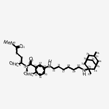 CNC(=O)CCC(C=O)N(C)C(=O)c1cc(NCCCCCCNC2(C)CC3CC(C)CC(C3)C2)ccc1C=O